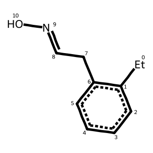 CCc1ccccc1CC=NO